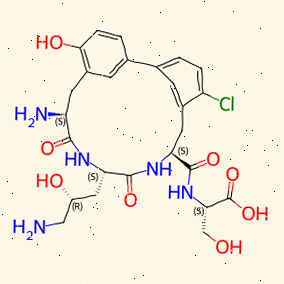 NC[C@H](O)C[C@@H]1NC(=O)[C@@H](N)Cc2cc(ccc2O)-c2ccc(Cl)c(c2)C[C@@H](C(=O)N[C@@H](CO)C(=O)O)NC1=O